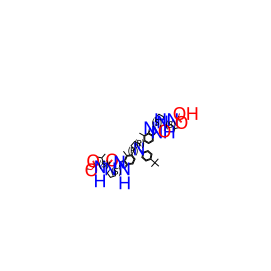 COC(=O)N[C@H](C(=O)N1CCC[C@H]1c1nc2c(C)c([C@H]3CC[C@H](c4ccc5[nH]c([C@@H]6CCCN6C(=O)[C@@H](NC(=O)O)C(C)C)nc5c4C)N3c3ccc(C(C)(C)C)cc3)ccc2[nH]1)C(C)C